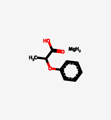 CC(Oc1ccccc1)C(=O)O.[MgH2]